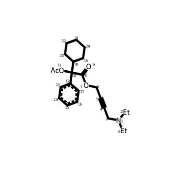 CCN(CC)CC#CCOC(=O)C(OC(C)=O)(c1ccccc1)C1CCCCC1